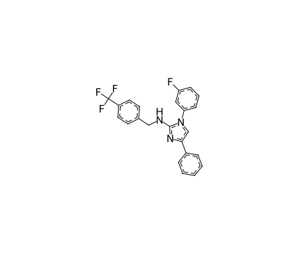 Fc1cccc(-n2cc(-c3ccccc3)nc2NCc2ccc(C(F)(F)F)cc2)c1